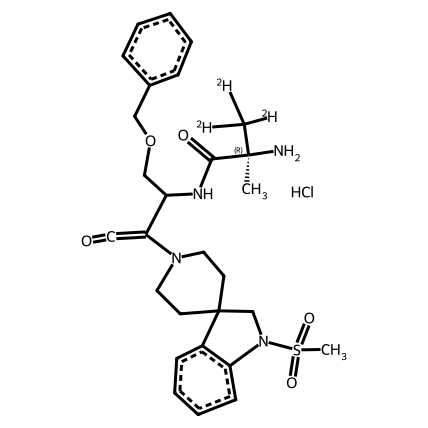 Cl.[2H]C([2H])([2H])[C@@](C)(N)C(=O)NC(COCc1ccccc1)C(=C=O)N1CCC2(CC1)CN(S(C)(=O)=O)c1ccccc12